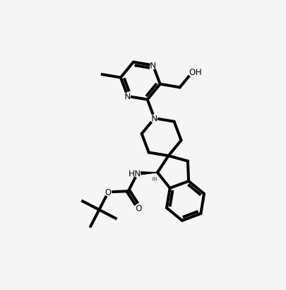 Cc1cnc(CO)c(N2CCC3(CC2)Cc2ccccc2[C@H]3NC(=O)OC(C)(C)C)n1